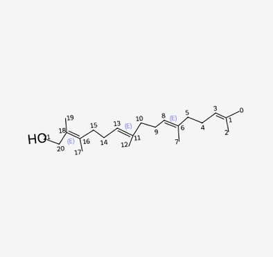 CC(C)=CCC/C(C)=C/CC/C(C)=C/CC/C(C)=C(\C)CO